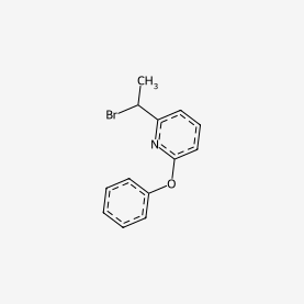 CC(Br)c1cccc(Oc2ccccc2)n1